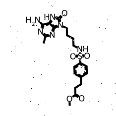 COC(=O)CCc1ccc(S(=O)(=O)NCCCCn2c(=O)[nH]c3c(N)nc(C)nc32)cc1